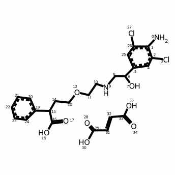 Nc1c(Cl)cc(C(O)CNCCOCCC(C(=O)O)c2ccccc2)cc1Cl.O=C(O)C=CC(=O)O